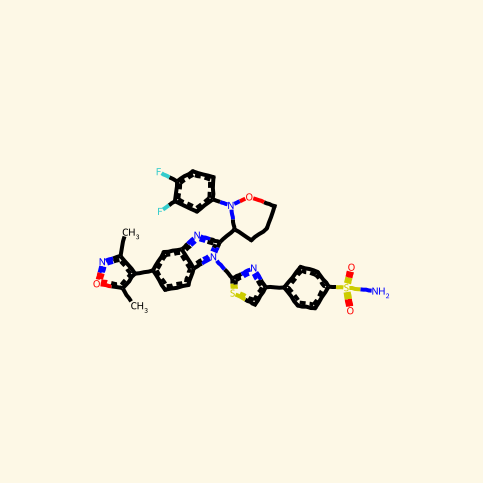 Cc1noc(C)c1-c1ccc2c(c1)nc(C1CCCON1c1ccc(F)c(F)c1)n2-c1nc(-c2ccc(S(N)(=O)=O)cc2)cs1